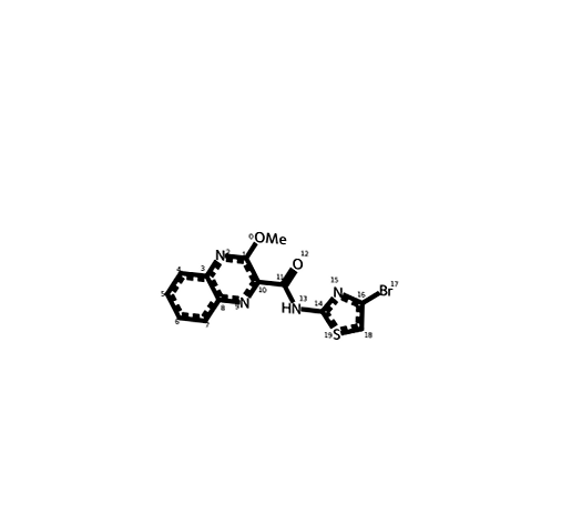 COc1nc2ccccc2nc1C(=O)Nc1nc(Br)cs1